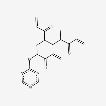 C=CC(=O)C(C)CC(CC(Oc1ncncn1)C(=O)C=C)C(=O)C=C